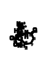 NC1(P(=O)([O-])[O-])CCCC(=O)NP1(=O)O.[Na+].[Na+]